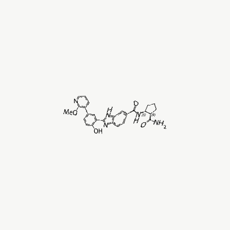 COc1ncccc1-c1ccc(O)c(-c2nc3ccc(C(=O)N[C@H]4CCC[C@H]4C(N)=O)cc3[nH]2)c1